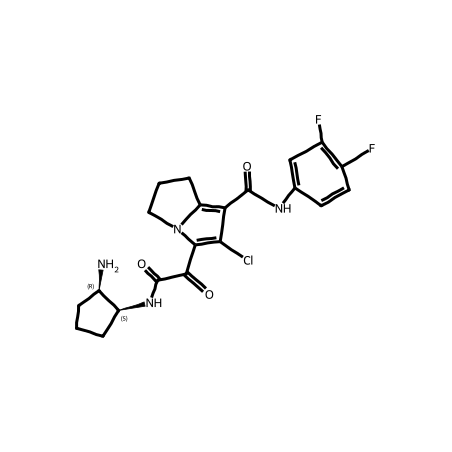 N[C@@H]1CCC[C@@H]1NC(=O)C(=O)c1c(Cl)c(C(=O)Nc2ccc(F)c(F)c2)c2n1CCC2